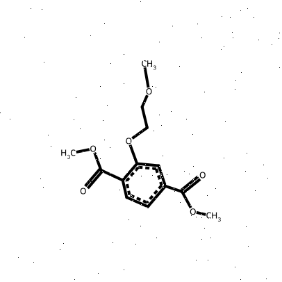 COCCOc1cc(C(=O)OC)ccc1C(=O)OC